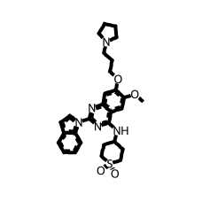 COc1cc2c(NC3CCS(=O)(=O)CC3)nc(-n3ccc4ccccc43)nc2cc1OCCCN1CCCC1